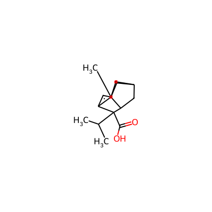 CC1C=C2C3CC(C1)CC3C2(C(=O)O)C(C)C